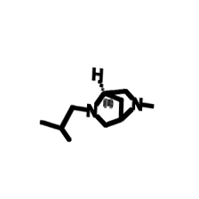 CC(C)CN1CC2C[C@@H]1CN2C